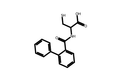 O=C(NC(CS)C(=O)O)c1ccccc1-c1ccccc1